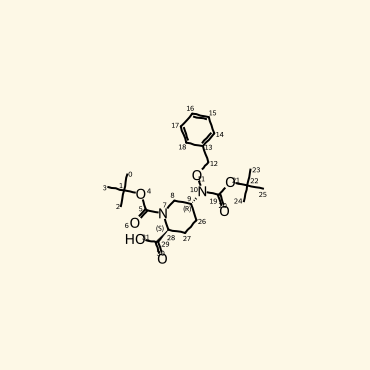 CC(C)(C)OC(=O)N1C[C@H](N(OCc2ccccc2)C(=O)OC(C)(C)C)CC[C@H]1C(=O)O